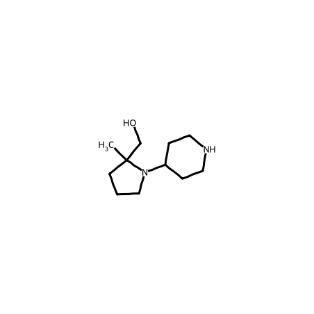 CC1(CO)CCCN1C1CCNCC1